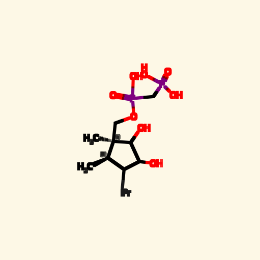 CC(C)C1C(O)C(O)[C@](C)(COP(=O)(O)CP(=O)(O)O)[C@@H]1C